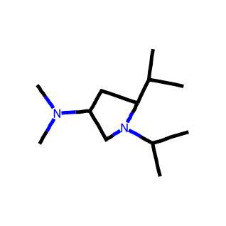 CC(C)C1CC(N(C)C)CN1C(C)C